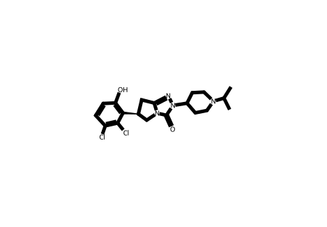 CC(C)N1CCC(n2nc3n(c2=O)C[C@@H](c2c(O)ccc(Cl)c2Cl)C3)CC1